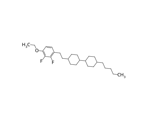 CCCCCC1CCC(C2CCC(CCc3ccc(OCC)c(F)c3F)CC2)CC1